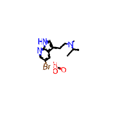 CC(C)N(C)CCc1c[nH]c2ncc(Br)cc12.O=CO